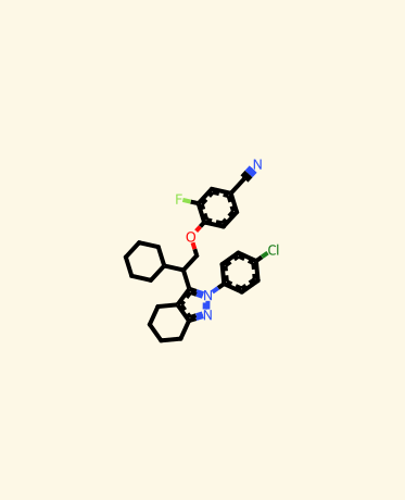 N#Cc1ccc(OCC(c2c3c(nn2-c2ccc(Cl)cc2)CCCC3)C2CCCCC2)c(F)c1